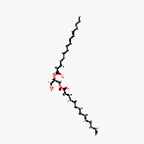 CCCCCCCCCCCCCCCC(=O)OC(CO)COC(=O)CCCCCCCCCCCCC